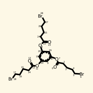 O=C(CCCCBr)Oc1cc(OC(=O)CCCCBr)cc(OC(=O)CCCCBr)c1